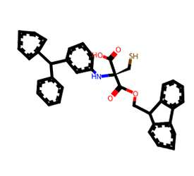 O=C(O)[C@@](CS)(Nc1cccc(C(c2ccccc2)c2ccccc2)c1)C(=O)OCC1c2ccccc2-c2ccccc21